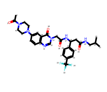 CC(=O)N1CCN(c2ccc3ncn(CC(=O)NC(CC(=O)NCC(C)C)c4ccc(C(F)(F)F)cc4)c(=O)c3c2)CC1